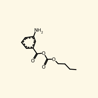 CCCCOC(=O)OC(=O)c1cccc(N)c1